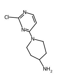 NC1CCN(c2ccnc(Cl)n2)CC1